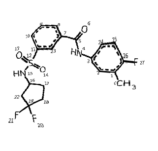 Cc1cc(NC(=O)c2cccc(S(=O)(=O)NC3CCC(F)(F)C3)c2)ccc1F